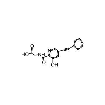 O=C(O)CNC(=O)c1ncc(C#Cc2ccccc2)cc1O